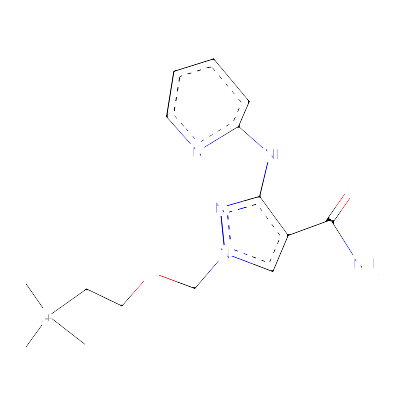 C[Si](C)(C)CCOCn1cc(C(N)=O)c(Nc2ccccn2)n1